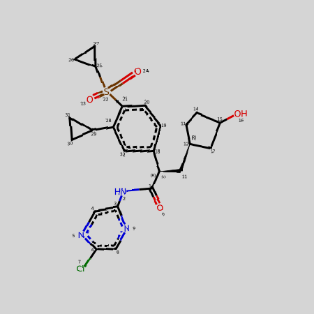 O=C(Nc1cnc(Cl)cn1)[C@H](C[C@H]1CCC(O)C1)c1ccc(S(=O)(=O)C2CC2)c(C2CC2)c1